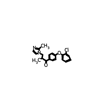 Cc1nccn1CC(C)C(=O)c1ccc(Oc2ccccc2Cl)cc1